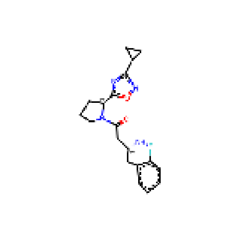 N[C@@H](CC(=O)N1CCC[C@H]1c1nc(C2CC2)no1)Cc1ccccc1F